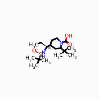 CC[C@H](N[S@+]([O-])C(C)(C)C)C1CCN(C(=O)O)C(C(C)(C)C)C1